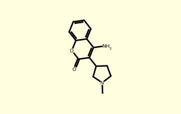 CN1CCC(c2c(N)c3ccccc3oc2=O)C1